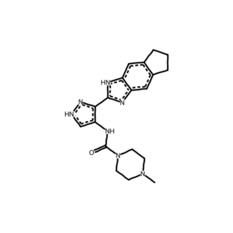 CN1CCN(C(=O)Nc2c[nH]nc2-c2nc3cc4c(cc3[nH]2)CCC4)CC1